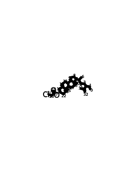 CCC(CCC(C)C1CCC2C3CC=C4CC(OC(=O)CCl)CCC4(C)C3CCC12C)C(C)C